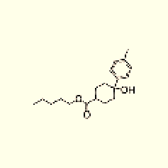 CCCCCOC(=O)C1CCC(O)(c2ccc(C)cc2)CC1